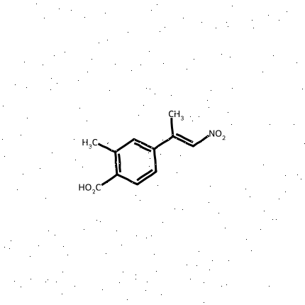 C/C(=C\[N+](=O)[O-])c1ccc(C(=O)O)c(C)c1